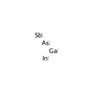 [As].[Ga].[In].[Sb]